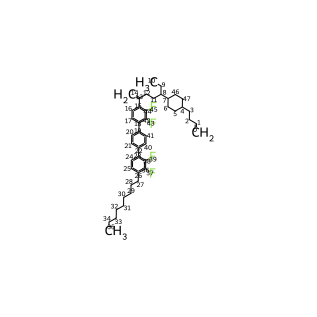 C=CCCC1CCC(C(CC)CCC(=C)c2ccc(-c3ccc(-c4ccc(CCCCCCCCC)c(F)c4F)cc3)c(F)c2F)CC1